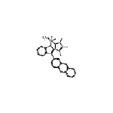 CC1=C(C)C(C)[C]([Zr]([CH3])([CH3])(=[SiH2])[CH]2C=C(c3ccc4cc5ccccc5cc4c3)c3ccccc32)=C1C